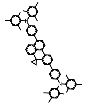 Cc1cc(C)c(N(c2ccc(-c3ccc4c(c3)C3(CC3)c3cccc5c(-c6ccc(N(c7c(C)cc(C)cc7C)c7c(C)cc(C)cc7C)cc6)ccc-4c35)cc2)c2cc(C)c(C)cc2C)c(C)c1